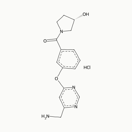 Cl.NCc1cc(Oc2cccc(C(=O)N3CC[C@H](O)C3)c2)ncn1